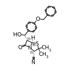 CC1(C)S[C@@H]2[C@@H](C(O)c3ccc(OCc4ccccc4)cc3)C(=O)N2[C@H]1C#N